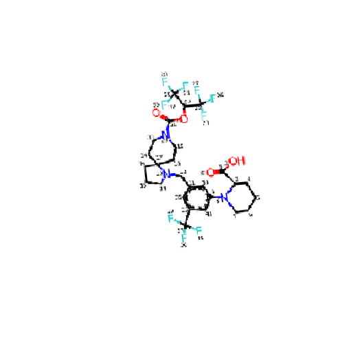 O=C(O)[C@H]1CCCCN1c1cc(CN2CCCC23CCN(C(=O)OC(C(F)(F)F)C(F)(F)F)CC3)cc(C(F)(F)F)c1